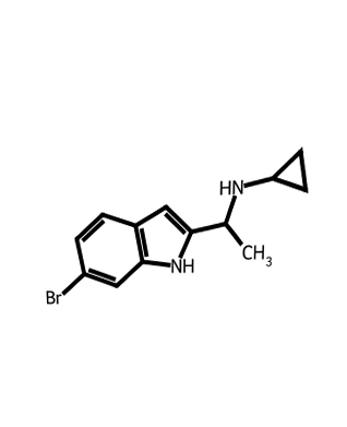 CC(NC1CC1)c1cc2ccc(Br)cc2[nH]1